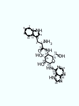 N[C@@H](Cc1c[nH]c2ccccc12)C(=O)N[C@@H]1[C@@H](O)[C@H](O)[C@@H](Nc2ncnc3nc[nH]c23)O[C@H]1CO